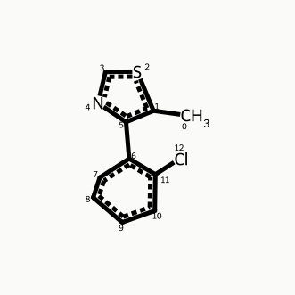 Cc1scnc1-c1ccccc1Cl